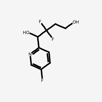 OCCC(F)(F)C(O)c1ccc(F)cn1